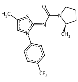 Cc1cn(-c2ccc(C(F)(F)F)cc2)/c(=N/C(=O)N2CCC[C@H]2C)s1